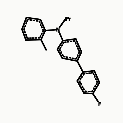 Cc1ccccc1N(c1ccc(-c2ccc(F)cc2)cc1)C(C)C